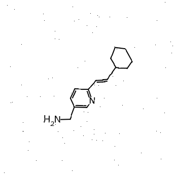 NCc1ccc(C=CC2CCCCC2)nc1